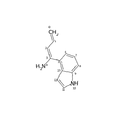 C=C/C=C(/N)c1cccc2[nH]ccc12